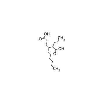 CCCCCCC(CCC(=O)O)C(CCC)C(=O)O